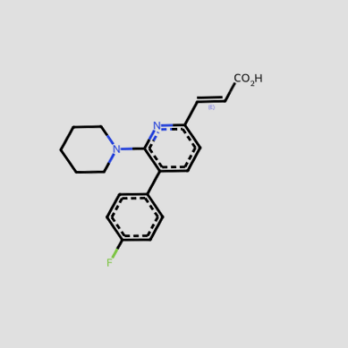 O=C(O)/C=C/c1ccc(-c2ccc(F)cc2)c(N2CCCCC2)n1